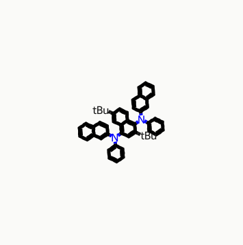 CC(C)(C)c1ccc2c(N(c3ccccc3)c3ccc4ccccc4c3)c(C(C)(C)C)cc(N(c3ccccc3)c3ccc4ccccc4c3)c2c1